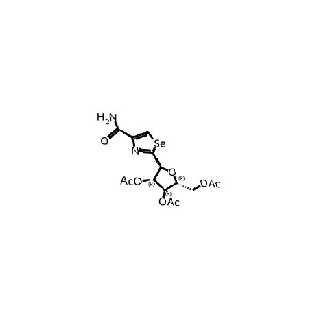 CC(=O)OC[C@H]1OC(c2nc(C(N)=O)c[se]2)[C@H](OC(C)=O)[C@@H]1OC(C)=O